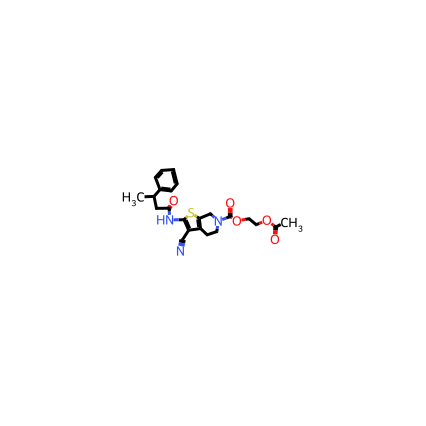 CC(=O)OCCOC(=O)N1CCc2c(sc(NC(=O)CC(C)c3ccccc3)c2C#N)C1